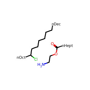 CCCCCCCC(=O)OCCN.CCCCCCCCCCCCCCCCC(Cl)CCCCCCCC